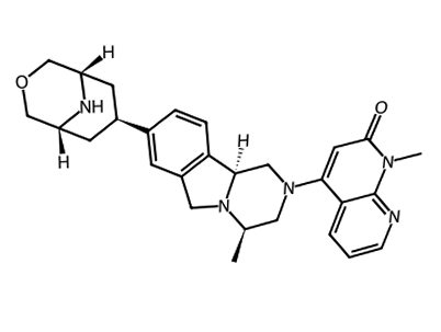 C[C@@H]1CN(c2cc(=O)n(C)c3ncccc23)C[C@@H]2c3ccc([C@@H]4C[C@H]5COC[C@@H](C4)N5)cc3CN12